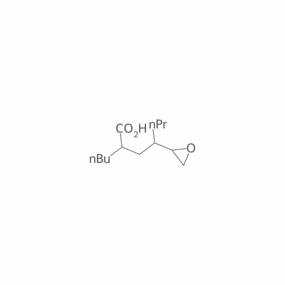 CCCCC(CC(CCC)C1CO1)C(=O)O